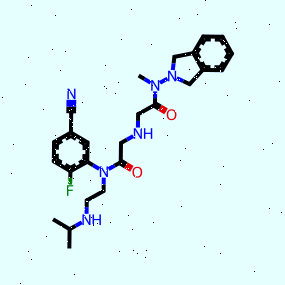 CC(C)NCCN(C(=O)CNCC(=O)N(C)N1Cc2ccccc2C1)c1cc(C#N)ccc1F